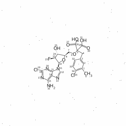 Cc1cc(CC(OC[C@H]2O[C@@H](n3cnc4c(N)nc(Cl)nc43)[C@@H](F)[C@@H]2O)(C(=O)O)C(=O)O)ccc1Cl